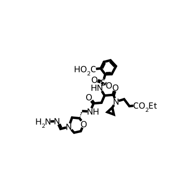 CCOC(=O)CCN(C(=O)C(CC(=O)NC[C@H]1CN(C=NN)CCO1)NS(=O)(=O)c1ccccc1C(=O)O)C1CC1